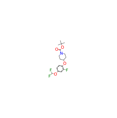 CC(C)(C)OC(=O)N1CCC(Oc2ccc(OC(F)F)cc2F)CC1